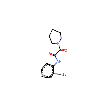 CC(C)(C)c1ccccc1NC(=O)C(=O)N1CCCCC1